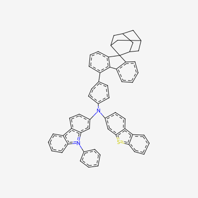 c1ccc(-n2c3ccccc3c3ccc(N(c4ccc(-c5cccc6c5-c5ccccc5C65C6CC7CC(C6)CC5C7)cc4)c4ccc5c(c4)sc4ccccc45)cc32)cc1